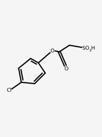 O=C(CS(=O)(=O)O)Oc1ccc(Cl)cc1